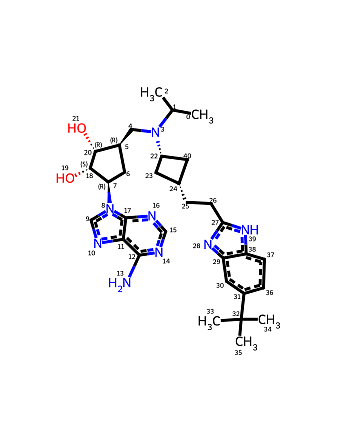 CC(C)N(C[C@H]1C[C@@H](n2cnc3c(N)ncnc32)[C@H](O)[C@@H]1O)[C@H]1C[C@@H](CCc2nc3cc(C(C)(C)C)ccc3[nH]2)C1